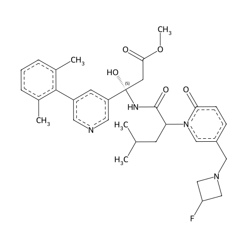 COC(=O)C[C@@](O)(NC(=O)C(CC(C)C)n1cc(CN2CC(F)C2)ccc1=O)c1cncc(-c2c(C)cccc2C)c1